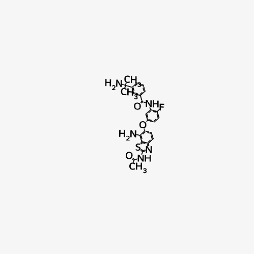 CC(=O)Nc1nc2ccc(Oc3ccc(F)c(NC(=O)c4cccc(C(C)(C)N)c4)c3)c(N)c2s1